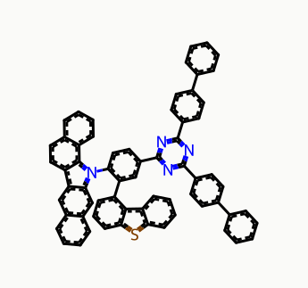 c1ccc(-c2ccc(-c3nc(-c4ccc(-c5ccccc5)cc4)nc(-c4ccc(-n5c6cc7ccccc7cc6c6ccc7ccccc7c65)c(-c5cccc6sc7ccccc7c56)c4)n3)cc2)cc1